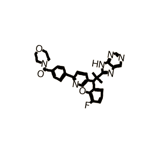 CC(C)(c1nc2cncnc2[nH]1)C1c2ccc(-c3ccc(C(=O)N4CCOCC4)cc3)nc2Oc2c(F)cccc21